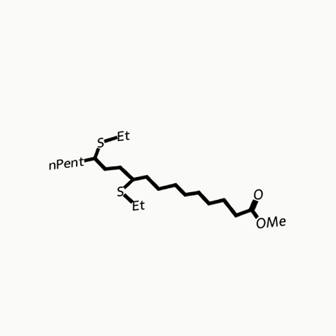 CCCCCC(CCC(CCCCCCCCC(=O)OC)SCC)SCC